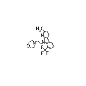 Cc1ccc2c3cccc(C(F)(F)F)c3n(CCN3CCOCC3)c2n1